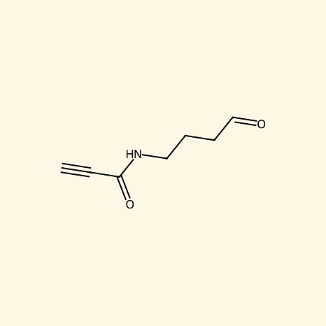 C#CC(=O)NCCCC=O